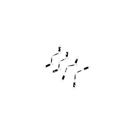 [O]=[Fe][O][Fe]=[O].[O]=[Fe][O][Fe]=[O].[O]=[Fe][O][Y]=[O].[O]=[Y][O][Y]=[O]